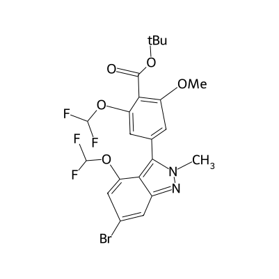 COc1cc(-c2c3c(OC(F)F)cc(Br)cc3nn2C)cc(OC(F)F)c1C(=O)OC(C)(C)C